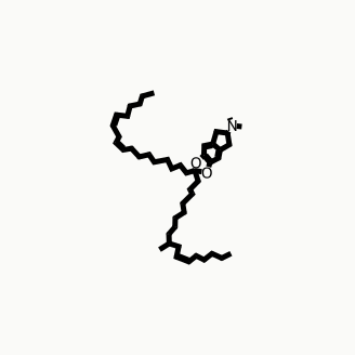 CCCCC/C=C\C/C=C\CCCCCCCCC1(CCCCCCCCC(C)C/C=C\CCCCC)Oc2cc3c(cc2O1)CC(N(C)C)C3